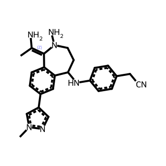 C/C(N)=C1\c2ccc(-c3cnn(C)c3)cc2C(Nc2ccc(CC#N)cc2)CCN1N